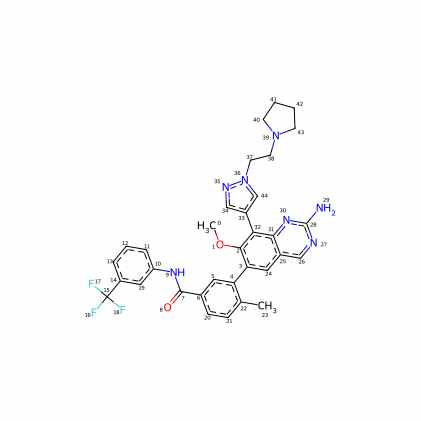 COc1c(-c2cc(C(=O)Nc3cccc(C(F)(F)F)c3)ccc2C)cc2cnc(N)nc2c1-c1cnn(CCN2CCCC2)c1